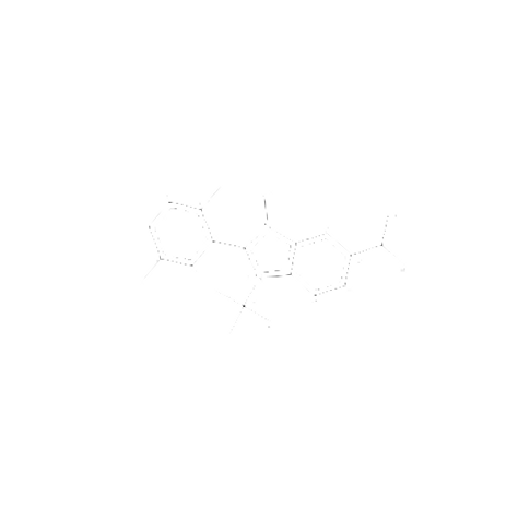 Cc1ccc(C)c(-c2n(C(C)(C)C)c3ccc(C(C)C)cc3[n+]2C)c1